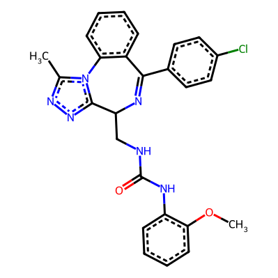 COc1ccccc1NC(=O)NCC1N=C(c2ccc(Cl)cc2)c2ccccc2-n2c(C)nnc21